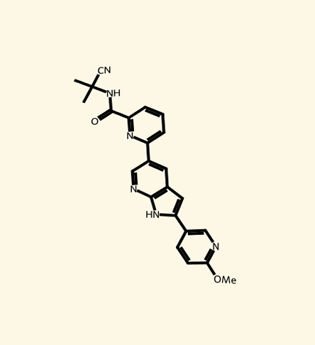 COc1ccc(-c2cc3cc(-c4cccc(C(=O)NC(C)(C)C#N)n4)cnc3[nH]2)cn1